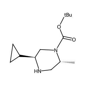 C[C@@H]1CN[C@@H](C2CC2)CN1C(=O)OC(C)(C)C